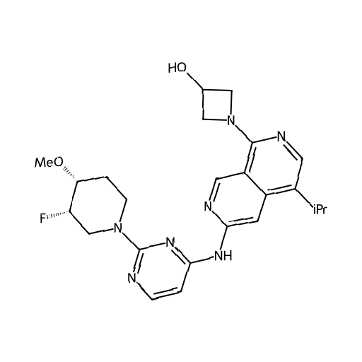 CO[C@@H]1CCN(c2nccc(Nc3cc4c(C(C)C)cnc(N5CC(O)C5)c4cn3)n2)C[C@@H]1F